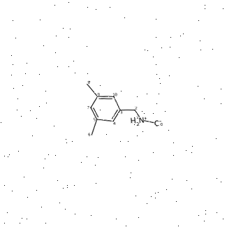 [CH2-][NH2+]Cc1cc(C)cc(C)c1